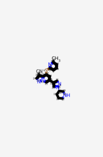 Cc1cccc(Sc2cc(-c3cnn([C@H]4CCCNC4)c3)cn3ncc(C#N)c23)n1